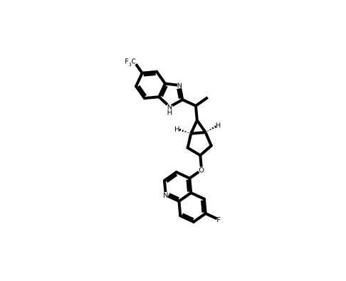 CC(c1nc2cc(C(F)(F)F)ccc2[nH]1)C1[C@H]2CC(Oc3ccnc4ccc(F)cc34)C[C@@H]12